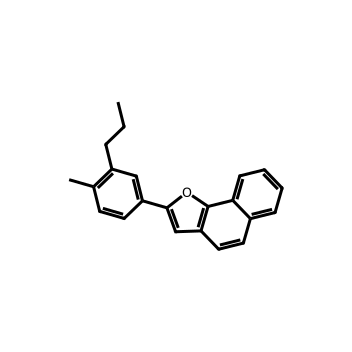 CCCc1cc(-c2cc3ccc4ccccc4c3o2)ccc1C